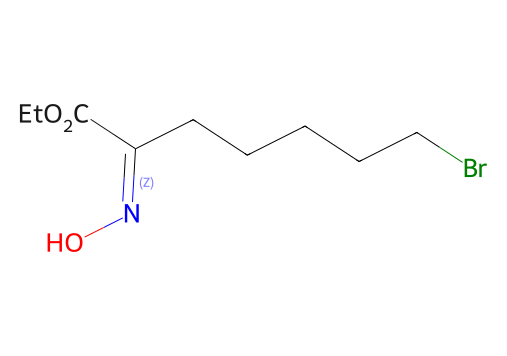 CCOC(=O)/C(CCCCCBr)=N\O